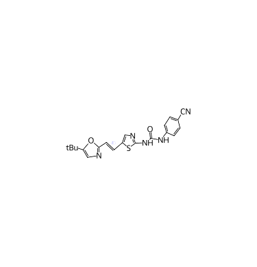 CC(C)(C)c1cnc(/C=C/c2cnc(NC(=O)Nc3ccc(C#N)cc3)s2)o1